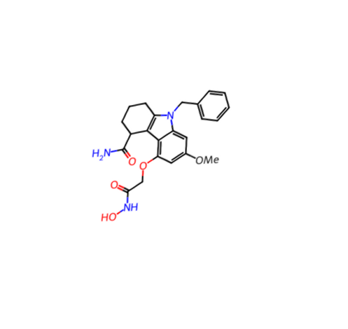 COc1cc(OCC(=O)NO)c2c3c(n(Cc4ccccc4)c2c1)CCCC3C(N)=O